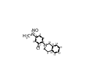 CN(N=O)c1ccc(N2CCc3ccccc3C2)c(Cl)c1